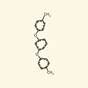 Cc1ccc(Oc2cccc(Oc3ccc(C)cc3)c2)cc1